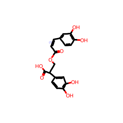 O=C(/C=C\c1ccc(O)c(O)c1)OCC(C(=O)O)c1ccc(O)c(O)c1